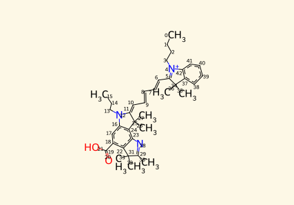 CCCC[N+]1=C(/C=C/C=C/C=C2/N(CCC)c3cc(C(=O)O)c4c(c3C2(C)C)N=C(C)C4(C)C)C(C)(C)c2ccccc21